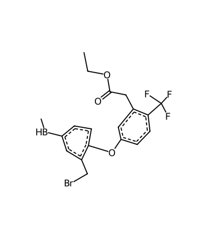 CBc1ccc(Oc2ccc(C(F)(F)F)c(CC(=O)OCC)c2)c(CBr)c1